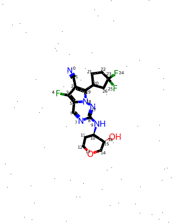 N#Cc1c(F)c2cnc(N[C@@H]3CCOC[C@H]3O)nn2c1C1CCC(F)(F)C1